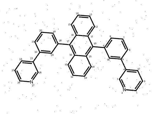 c1cncc(-c2cccc(-c3c4ccccc4c(-c4cccc(-c5cccnc5)c4)c4ccccc34)c2)c1